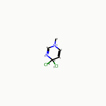 CN1C=CC(Cl)(Cl)N=C1